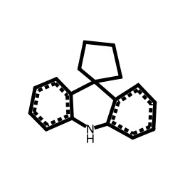 c1ccc2c(c1)Nc1ccccc1C21CCCC1